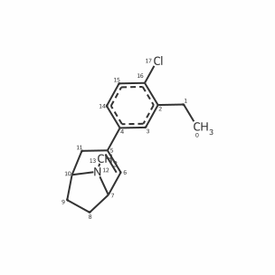 CCc1cc(C2=CC3CCC(C2)N3C)ccc1Cl